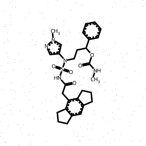 CNC(=O)OC(CCN(c1cnn(C)c1)S(=O)(=O)NC(=O)Cc1c2c(cc3c1CCC3)CCC2)c1ccccc1